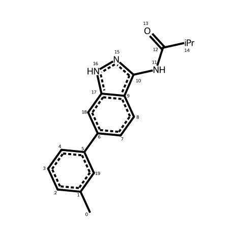 Cc1cccc(-c2ccc3c(NC(=O)C(C)C)n[nH]c3c2)c1